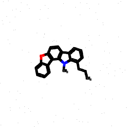 CCCc1cccc2c3ccc4oc5ccccc5c4c3n(C)c12